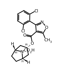 Cc1onc(-c2c(Cl)cccc2Cl)c1C(=O)O[C@H]1C[C@H]2CC[C@@H](C1)N2C(=O)O